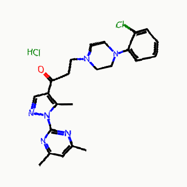 Cc1cc(C)nc(-n2ncc(C(=O)CCN3CCN(c4ccccc4Cl)CC3)c2C)n1.Cl